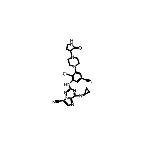 N#Cc1cc(Nc2nc(NC3CC3)c3ncc(C#N)n3n2)c(Cl)c(N2CCN(C3CCNC3=O)CC2)c1